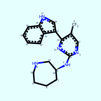 FC(F)(F)c1cnc(N[C@H]2CCCCNC2)nc1-c1c[nH]c2ccccc12